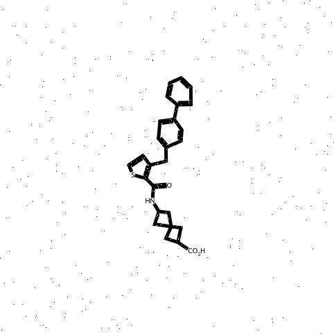 O=C(NC1CC2(C1)CC(C(=O)O)C2)c1sccc1Cc1ccc(-c2ccccc2)cc1